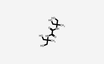 CC(CO)(CO)NC(=O)C(=O)NC(C)(CO)CO